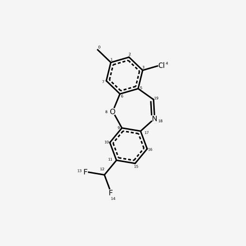 Cc1cc(Cl)c2c(c1)Oc1cc(C(F)F)ccc1N=C2